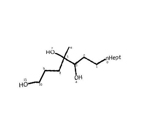 CCCCCCCCCC(O)C(C)(O)CCCO